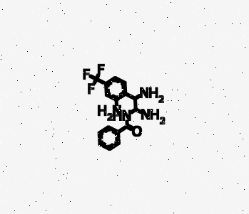 Nc1cc(C(F)(F)F)ccc1C(N)C(N)NC(=O)c1ccccc1